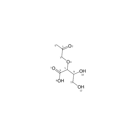 CC(=O)COC(C(=O)O)C(O)CO